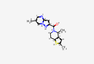 Bc1cnc2cc(C(=O)N3CCc4sc(C(F)(F)F)cc4C3C)nn2c1